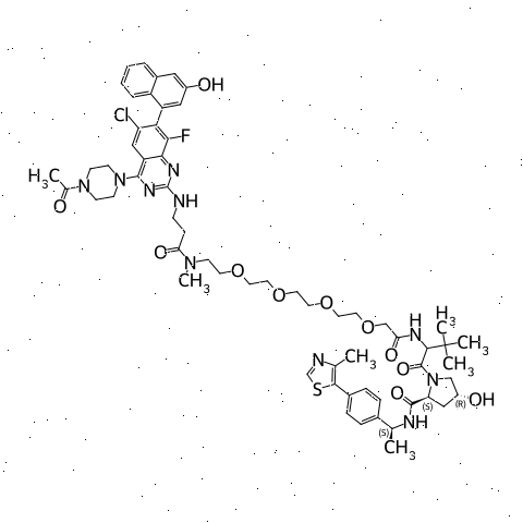 CC(=O)N1CCN(c2nc(NCCC(=O)N(C)CCOCCOCCOCCOCC(=O)NC(C(=O)N3C[C@H](O)C[C@H]3C(=O)N[C@@H](C)c3ccc(-c4scnc4C)cc3)C(C)(C)C)nc3c(F)c(-c4cc(O)cc5ccccc45)c(Cl)cc23)CC1